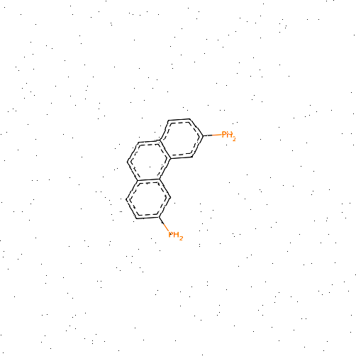 Pc1ccc2ccc3ccc(P)cc3c2c1